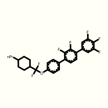 CCCC1CCC(C(F)(F)Oc2ccc(-c3ccc(-c4cc(F)c(F)c(F)c4)c(F)c3F)cc2)CC1